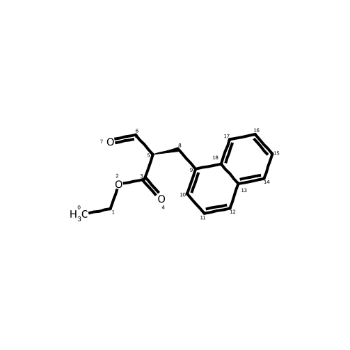 CCOC(=O)[C@@H]([C]=O)Cc1cccc2ccccc12